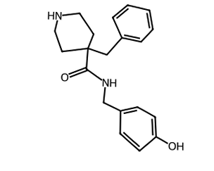 O=C(NCc1ccc(O)cc1)C1(Cc2ccccc2)CCNCC1